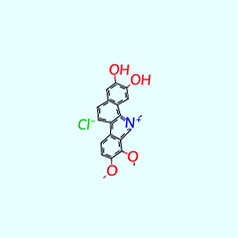 COc1ccc2c(c[n+](C)c3c4cc(O)c(O)cc4ccc23)c1OC.[Cl-]